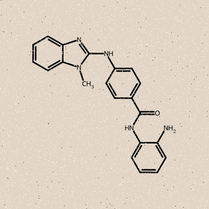 Cn1c(Nc2ccc(C(=O)Nc3ccccc3N)cc2)nc2ccccc21